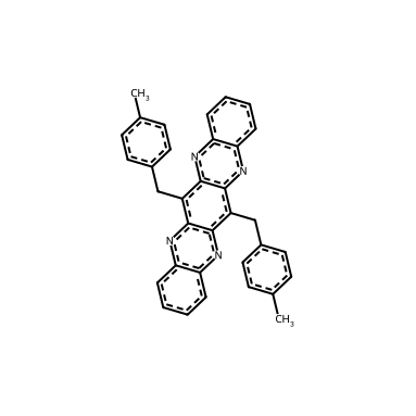 Cc1ccc(Cc2c3nc4ccccc4nc3c(Cc3ccc(C)cc3)c3nc4ccccc4nc23)cc1